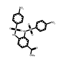 COC(=O)c1ccc(NS(=O)(=O)c2ccc([N+](=O)[O-])cc2)c(NS(=O)(=O)c2ccc([N+](=O)[O-])cc2)c1